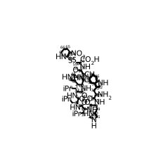 CC(C)C[C@H](NC(=O)[C@H](CC(C)C)NC(=O)[C@H](CC(C)C)NC(=O)[C@H](CC1=CNCN1)NC(=O)[C@@H](N)Cc1c[nH]c2ccccc12)C(=O)N[C@@H](CC1=CNCN1)C(=O)N[C@@H](C)C(=O)N[C@@H](CSSC1=C([N+](=O)[O-])C=CCN1)C(=O)O